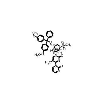 COc1ccc(C(OC[C@@]23CN(S(C)(=O)=O)[C@@H]([C@H](n4cc(C)c(-n5cccnc5=O)nc4=O)O2)[C@@H]3O)(c2ccccc2)c2ccc(OC)cc2)cc1